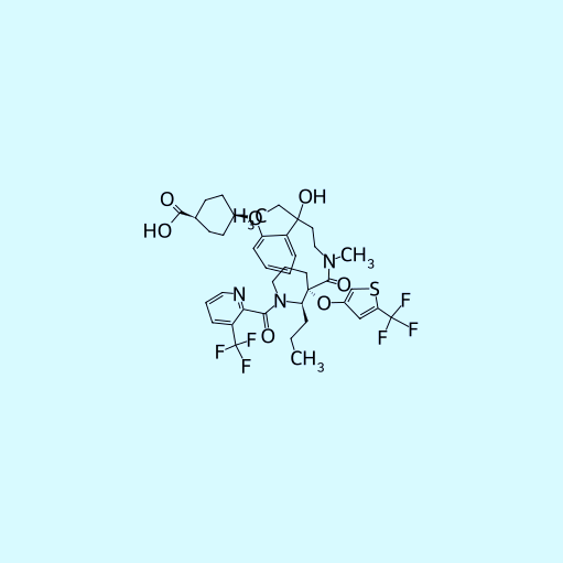 CCC[C@H]1N(C(=O)c2ncccc2C(F)(F)F)CCC[C@@]1(Oc1csc(C(F)(F)F)c1)C(=O)N(C)CCC(O)(CC)c1ccccc1O[C@H]1CC[C@@H](C(=O)O)CC1